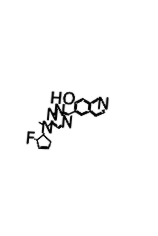 CN(c1cnc(-c2cc3ccncc3cc2O)nn1)[C@H]1CC=C[C@@H]1F